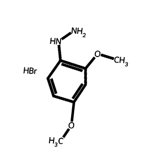 Br.COc1ccc(NN)c(OC)c1